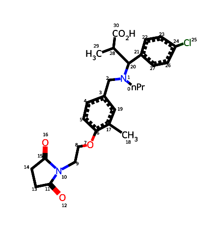 CCCN(Cc1ccc(OCCN2C(=O)CCC2=O)c(C)c1)C(c1ccc(Cl)cc1)C(C)C(=O)O